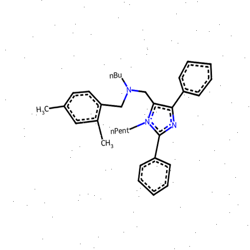 CCCCCn1c(-c2ccccc2)nc(-c2ccccc2)c1CN(CCCC)Cc1ccc(C)cc1C